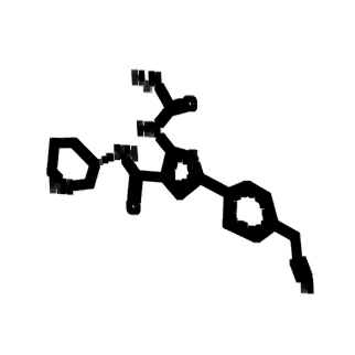 N#CCc1ccc(-c2cc(C(=O)N[C@H]3CCCNC3)c(NC(N)=O)s2)cc1